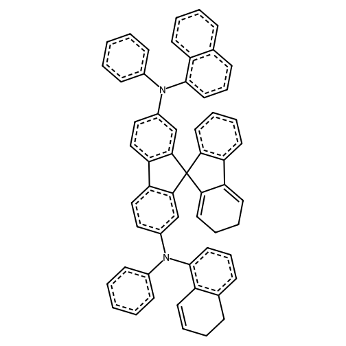 C1=Cc2c(cccc2N(c2ccccc2)c2ccc3c(c2)C2(C4=CCCC=C4c4ccccc42)c2cc(N(c4ccccc4)c4cccc5ccccc45)ccc2-3)CC1